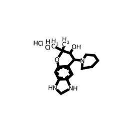 CC1(C)Oc2cc3c(cc2C(N2CCCCC2)C1O)NCN3.Cl.Cl